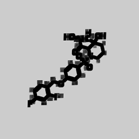 C[C@@]1(O)CCCN(S(=O)(=O)c2ccc(OCc3ccc(F)cc3F)cc2)C1C(=O)NO